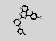 Cn1cc([C@@H]2CN(c3nc(-c4ccc(Cl)cc4F)c4cccnc4n3)CCO2)cn1